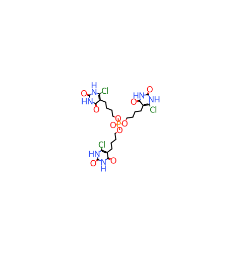 O=c1[nH]c(Cl)c(CCCCOP(=O)(OCCCCc2c(Cl)[nH]c(=O)[nH]c2=O)OCCCCc2c(Cl)[nH]c(=O)[nH]c2=O)c(=O)[nH]1